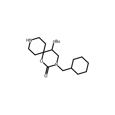 CCCCC1CN(CC2CCCCC2)C(=O)OC12CCNCC2